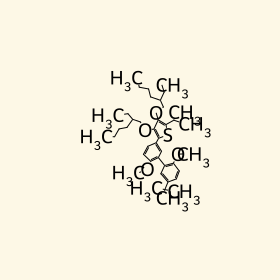 CCCCC(CC)COc1c(-c2ccc(OC)c(-c3cc(C(C)(C)C)ccc3OC)c2)sc(C(C)C)c1OCC(CC)CCCC